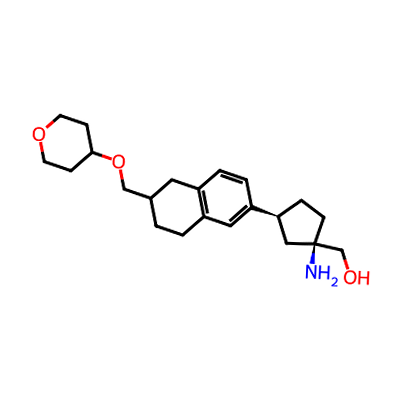 N[C@]1(CO)CC[C@H](c2ccc3c(c2)CCC(COC2CCOCC2)C3)C1